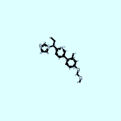 CCC(c1ccc(-c2ccc(OCOC)cc2C)cn1)n1ccnc1